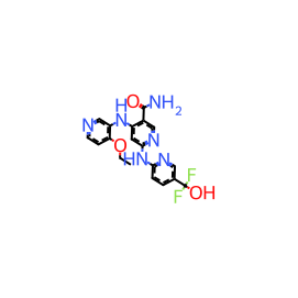 CCOc1ccncc1Nc1cc(Nc2ccc(C(O)(F)F)cn2)ncc1C(N)=O